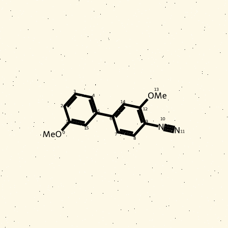 COc1cccc(-c2ccc([N+]#N)c(OC)c2)c1